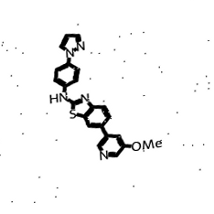 COc1cncc(-c2ccc3nc(Nc4ccc(-n5cccn5)cc4)sc3c2)c1